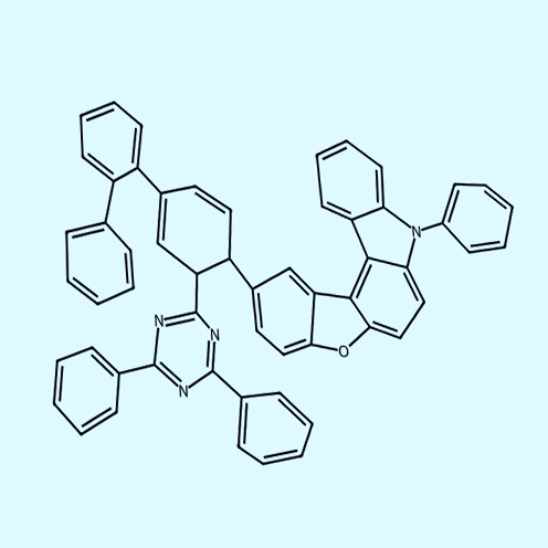 C1=CC(c2ccc3oc4ccc5c(c6ccccc6n5-c5ccccc5)c4c3c2)C(c2nc(-c3ccccc3)nc(-c3ccccc3)n2)C=C1c1ccccc1-c1ccccc1